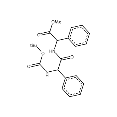 COC(=O)C(NC(=O)C(NC(=O)OC(C)(C)C)c1ccccc1)c1ccccc1